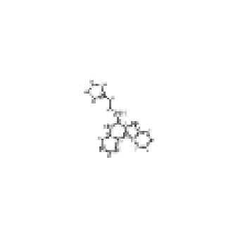 c1ccc2c(c1)nc1c(NCCN3CCCC3)nc3cncnc3n12